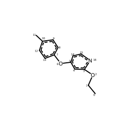 CCOc1cc(Oc2ccc(C)cc2)ccn1